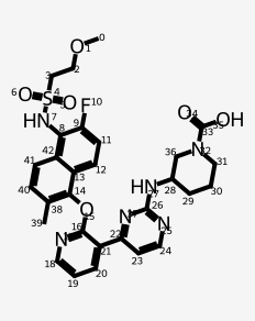 COCCS(=O)(=O)Nc1c(F)ccc2c(Oc3ncccc3-c3ccnc(NC4CCCN(C(=O)O)C4)n3)c(C)ccc12